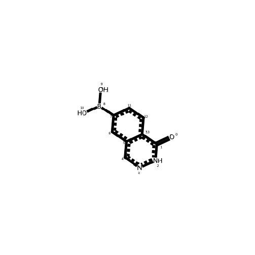 O=c1[nH]ncc2cc(B(O)O)ccc12